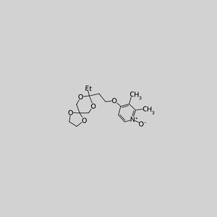 CCC1(CCOc2cc[n+]([O-])c(C)c2C)OCC2(CO1)OCCO2